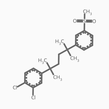 CC(C)(CCC(C)(C)c1ccc(Cl)c(Cl)c1)c1cccc(S(C)(=O)=O)c1